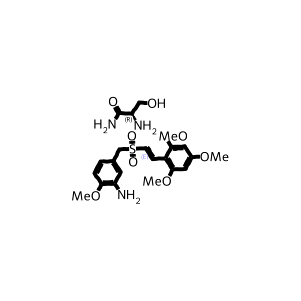 COc1cc(OC)c(/C=C/S(=O)(=O)Cc2ccc(OC)c(N)c2)c(OC)c1.NC(=O)[C@H](N)CO